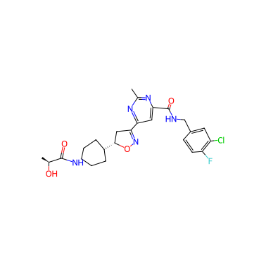 Cc1nc(C(=O)NCc2ccc(F)c(Cl)c2)cc(C2=NO[C@H](C3CCC(NC(=O)[C@H](C)O)CC3)C2)n1